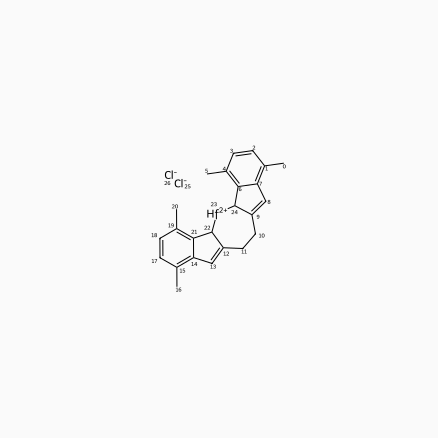 Cc1ccc(C)c2c1C=C1CCC3=Cc4c(C)ccc(C)c4[CH]3[Hf+2][CH]12.[Cl-].[Cl-]